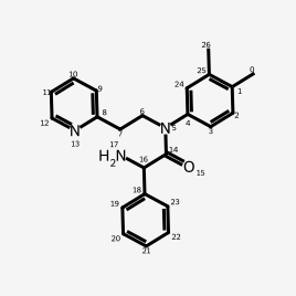 Cc1ccc(N(CCc2ccccn2)C(=O)C(N)c2ccccc2)cc1C